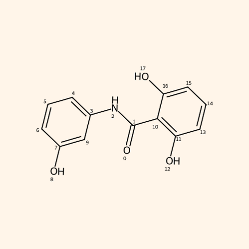 O=C(Nc1cccc(O)c1)c1c(O)cccc1O